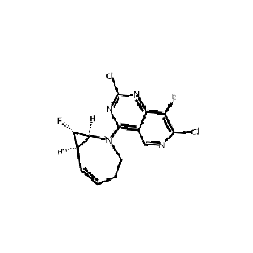 Fc1c(Cl)ncc2c(N3CCC=C[C@H]4[C@H](F)[C@H]43)nc(Cl)nc12